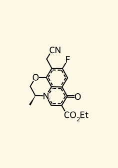 CCOC(=O)c1cn2c3c(c(CC#N)c(F)cc3c1=O)OC[C@@H]2C